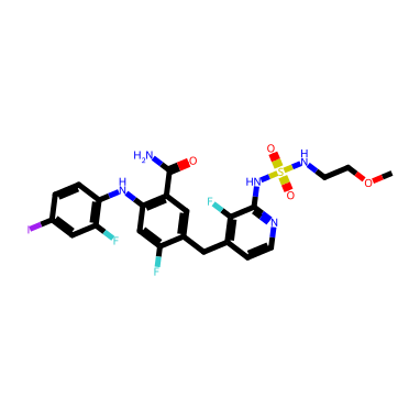 COCCNS(=O)(=O)Nc1nccc(Cc2cc(C(N)=O)c(Nc3ccc(I)cc3F)cc2F)c1F